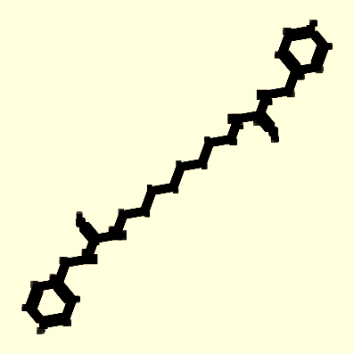 O=C(NCCCCCCCCNC(=O)NCc1ccncc1)NCc1ccncc1